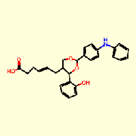 O=C(O)CCC=CCC1COC(c2ccc(Nc3ccccc3)cc2)OC1c1ccccc1O